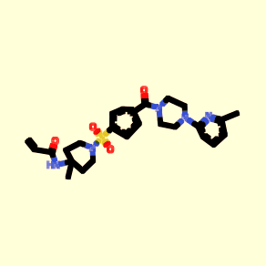 C=CC(=O)NC1(C)CCN(S(=O)(=O)c2ccc(C(=O)N3CCN(c4cccc(C)n4)CC3)cc2)CC1